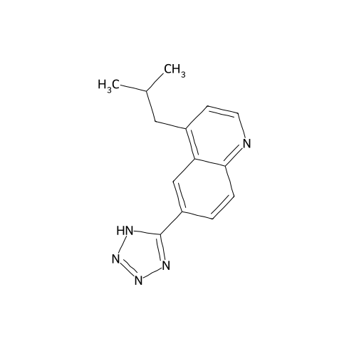 CC(C)Cc1ccnc2ccc(-c3nnn[nH]3)cc12